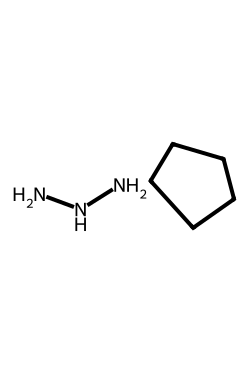 C1CCCC1.NNN